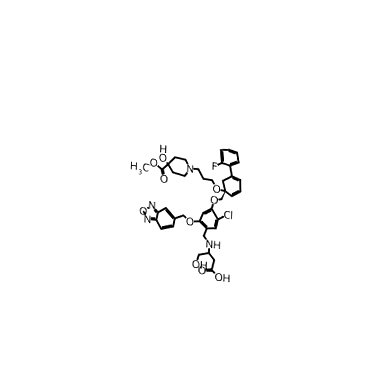 COC(=O)C1(O)CCN(CCCO[C@@]2(COc3cc(OCc4ccc5nonc5c4)c(CNC(CO)CC(=O)O)cc3Cl)C=CC=C(c3ccccc3F)C2)CC1